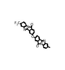 Cc1ccc2c(c1)nc1n2C(=O)c2cc(Oc3ccc4c(c3)-c3nc5cc(C(F)(F)F)ccc5n3C4=O)ccc2-1